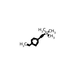 C=Cc1ccc(C#C[Si](C)(C)C)cc1